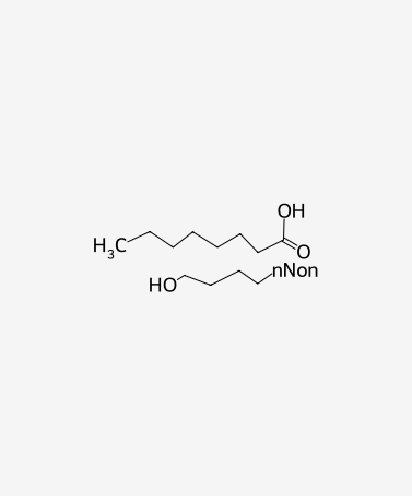 CCCCCCCC(=O)O.CCCCCCCCCCCCCO